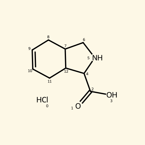 Cl.O=C(O)C1NCC2CC=CCC21